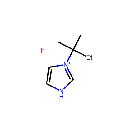 CCC(C)(C)[n+]1cc[nH]c1.[I-]